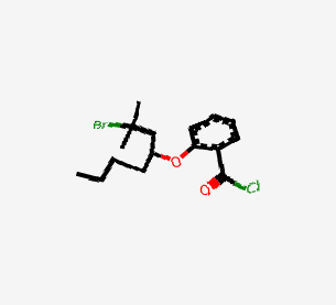 CCCCC(CC(C)(C)Br)Oc1ccccc1C(=O)Cl